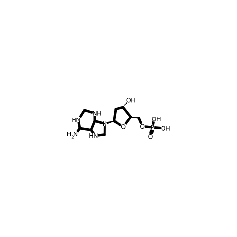 NC1NCNC2C1NCN2[C@H]1C[C@H](O)[C@@H](COP(=O)(O)O)O1